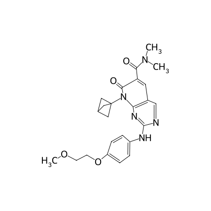 COCCOc1ccc(Nc2ncc3cc(C(=O)N(C)C)c(=O)n(C45CC(C4)C5)c3n2)cc1